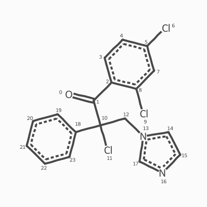 O=C(c1ccc(Cl)cc1Cl)C(Cl)(Cn1ccnc1)c1ccccc1